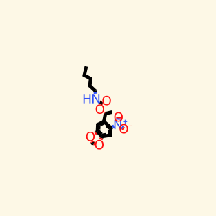 CCCCCNC(=O)OC(C)c1cc2c(cc1[N+](=O)[O-])OCO2